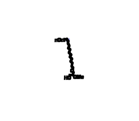 CCCCCCCC/C=C\CCCCCCCCCCCCOCC(CO)OC